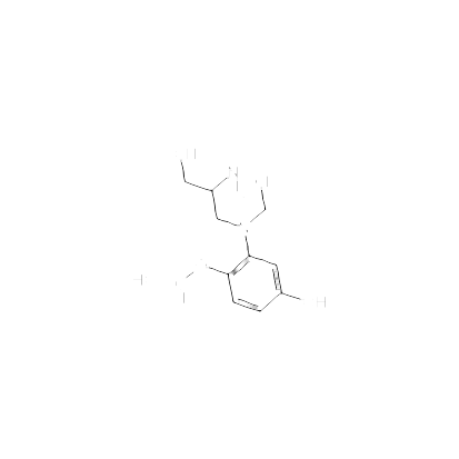 CCC(N)CN(CC)c1cc(O)ccc1OC.Cl